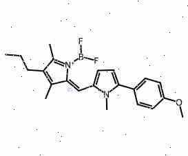 CCCC1=C(C)/C(=C/c2ccc(-c3ccc(OC)cc3)n2C)[N+](B(F)F)=C1C